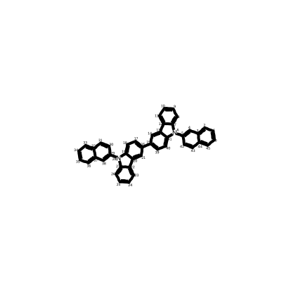 c1ccc2cc(-n3c4ccccc4c4cc(-c5ccc6c(c5)c5ccccc5n6-c5ccc6ccccc6c5)ccc43)ccc2c1